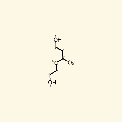 [O]C(CCO)OCCO